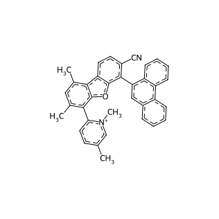 Cc1ccc(-c2c(C)cc(C)c3c2oc2c(-c4cc5ccccc5c5ccccc45)c(C#N)ccc23)[n+](C)c1